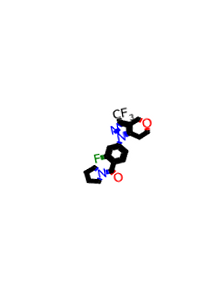 O=C(c1ccc(-n2nc(C(F)(F)F)c3c2CCOC3)cc1F)N1CCCC1